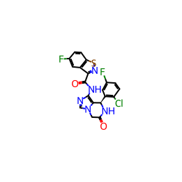 O=C1Cn2cnc(NC(=O)c3nsc4ccc(F)cc34)c2[C@@H](c2cc(F)ccc2Cl)N1